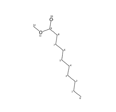 CCCCCCCCCC([O])OC